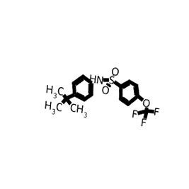 CC(C)(C)c1ccc(NS(=O)(=O)c2ccc(OC(F)(F)F)cc2)cc1